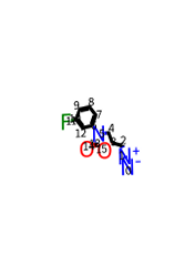 [N-]=[N+]=CC1CN(c2cccc(F)c2)C(=O)O1